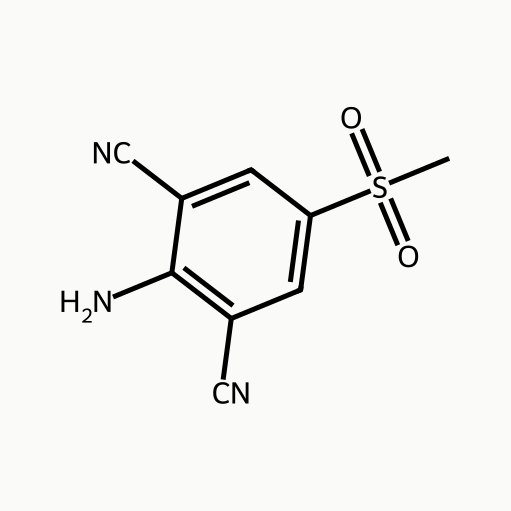 CS(=O)(=O)c1cc(C#N)c(N)c(C#N)c1